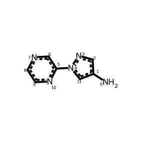 Nc1cnn(-c2cnccn2)c1